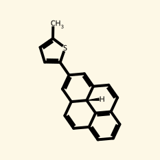 Cc1ccc(C2=CC3C=Cc4cccc5c4[C@H]3C(=C2)C=C5)s1